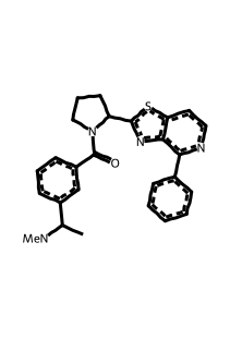 CNC(C)c1cccc(C(=O)N2CCCC2c2nc3c(-c4ccccc4)nccc3s2)c1